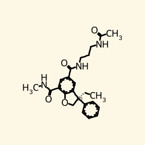 CC[C@]1(c2ccccc2)COc2c(C(=O)NC)cc(C(=O)NCCCNC(C)=O)cc21